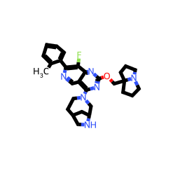 Cc1ccccc1-c1ncc2c(N3CCC4CNC(C4)C3)nc(OCC34CCCN3CCC4)nc2c1F